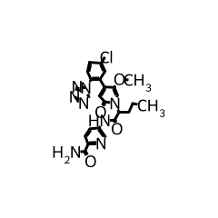 CCCC(C(=O)Nc1ccc(C(N)=O)nc1)n1cc(OC)c(-c2cc(Cl)ccc2-n2cnnn2)cc1=O